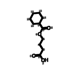 O=C(O)CCCOC(=O)C1CCCCC1